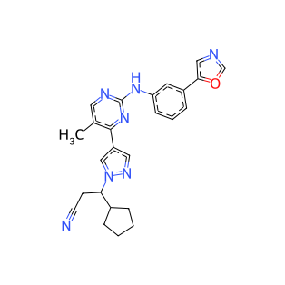 Cc1cnc(Nc2cccc(-c3cnco3)c2)nc1-c1cnn(C(CC#N)C2CCCC2)c1